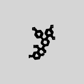 O=C(C(O)c1cc(F)ccc1F)N1CCN(c2ccc(Cl)cc2Cl)[C@H](c2ccc(Cl)cc2)C1